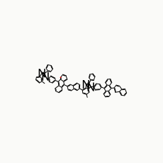 Cc1cc(-c2ccc3cc(-c4c5ccccc5c(-c5ccc(-n6c(-c7ccccc7)nc7cccc(C)c76)cc5)c5ccccc45)ccc3c2)c2nc(-c3ccccc3)n(-c3ccc(-c4c5ccccc5c(-c5ccc6ccccc6c5)c5ccccc45)cc3)c2c1